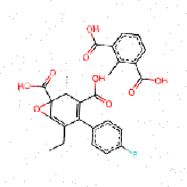 CCC1=C2OC2(C(=O)O)[C@H](C)C(C(=O)O)=C1c1ccc(F)cc1.Cc1c(C(=O)O)cccc1C(=O)O